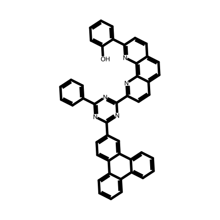 Oc1ccccc1-c1ccc2ccc3ccc(-c4nc(-c5ccccc5)nc(-c5ccc6c7ccccc7c7ccccc7c6c5)n4)nc3c2n1